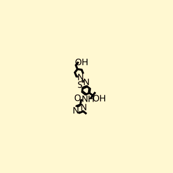 Cc1cncc(C(=O)Nc2cc3sc(N4CCC(CO)CC4)nc3cc2C(C)(C)O)n1